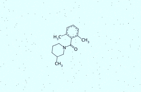 Cc1cccc(C)c1C(=O)N1CCCC(C)C1